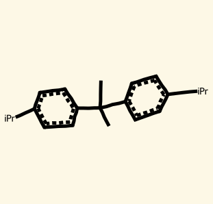 CC(C)c1ccc(C(C)(C)c2ccc(C(C)C)cc2)cc1